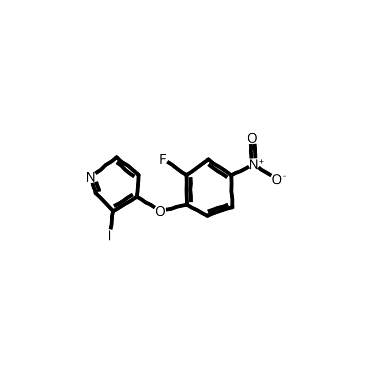 O=[N+]([O-])c1ccc(Oc2ccncc2I)c(F)c1